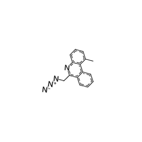 Cc1cccc2nc(CN=[N+]=[N-])c3ccccc3c12